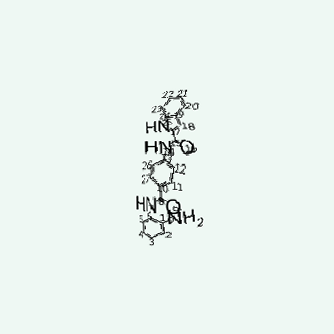 Nc1ccccc1NC(=O)c1ccc(NC(=O)c2cc3ccccc3[nH]2)cc1